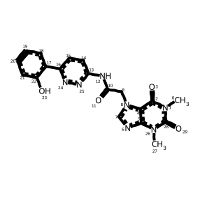 Cn1c(=O)c2c(ncn2CC(=O)Nc2ccc(-c3cc#ccc3O)nn2)n(C)c1=O